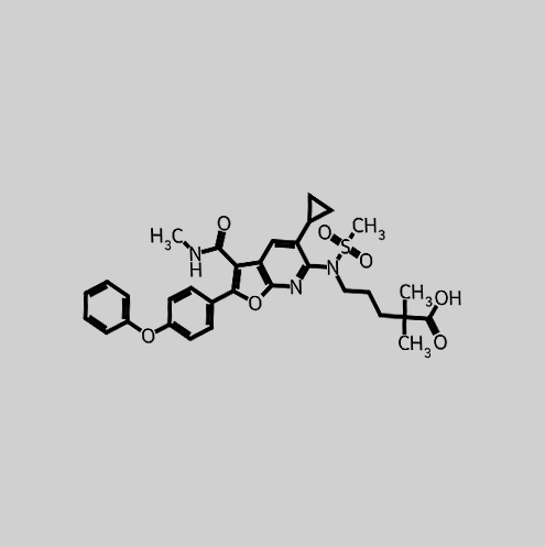 CNC(=O)c1c(-c2ccc(Oc3ccccc3)cc2)oc2nc(N(CCCC(C)(C)C(=O)O)S(C)(=O)=O)c(C3CC3)cc12